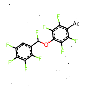 CC(=O)c1c(F)c(F)c(OC(F)c2cc(F)c(F)c(F)c2F)c(F)c1F